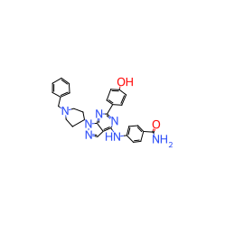 NC(=O)c1ccc(Nc2nc(-c3ccc(O)cc3)nc3c2cnn3C2CCN(Cc3ccccc3)CC2)cc1